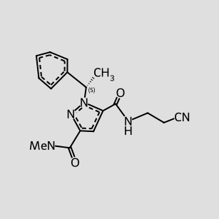 CNC(=O)c1cc(C(=O)NCCC#N)n([C@@H](C)c2ccccc2)n1